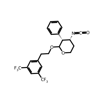 O=C=N[C@@H]1CCOC(OCCc2cc(C(F)(F)F)cc(C(F)(F)F)c2)[C@@H]1c1ccccc1